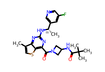 Cc1csc2c(C(=O)N3CC(NC(=O)C(C)(C)C)C3)nc(N[C@@H](C)c3cncc(F)c3)nc12